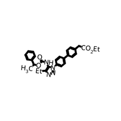 CCOC(=O)Cc1ccc(-c2ccc(-n3nnc(CC)c3NC(=O)OC(C)c3ccccc3)cc2)cc1